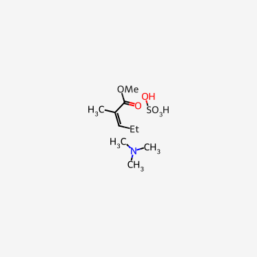 CCC=C(C)C(=O)OC.CN(C)C.O=S(=O)(O)O